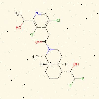 CC(O)c1ncc(Cl)c(CC(=O)N2CC[C@@H]3[C@H](CCC[C@H]3C(O)C(F)F)[C@@H]2C)c1Cl